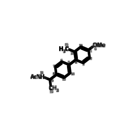 COc1ccc(-c2ccc(C(C)NC(C)=O)cc2)c(C)c1